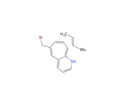 BrCC1=CC2=CC=CNC2=CC=C1.CC=CC(C)(C)C